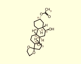 CC(=O)O[C@H]1CC[C@@H]2[C@H]3CC[C@@]4(C)[C@@H](CCC45OCCO5)[C@@H]3C[C@H](O)[C@H]2C1